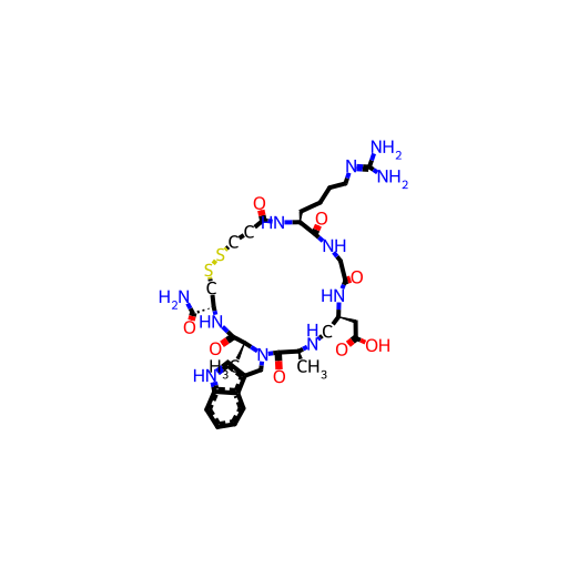 C[C@@H]1NC[C@H](CC(=O)O)NC(=O)CNC(=O)[C@H](CCCCN=C(N)N)NC(=O)CCSSC[C@@H](C(N)=O)NC(=O)[C@H](C)N(Cc2c[nH]c3ccccc23)C1=O